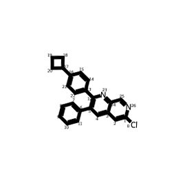 Clc1cc2cc(-c3ccccc3)c(-c3ccc([C]4CCC4)cc3)nc2cn1